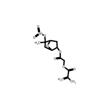 C=C(C)C(=O)OCC(=O)OC1CC2OC1CC2(C)O[SH](=O)=O